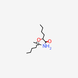 CCCCC(O[Si](C)(C)CCCC)C(N)=O